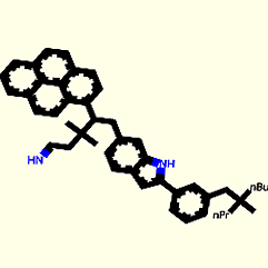 CCCCC(C)(CCC)Cc1cccc(-c2cc3ccc(CC(c4ccc5ccc6cccc7ccc4c5c67)C(C)(C)CC=N)cc3[nH]2)c1